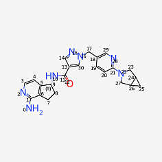 Nc1nccc2c1CC[C@H]2NC(=O)c1cnn(Cc2ccc(N3CC4CC4C3)nc2)c1